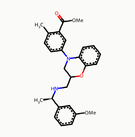 COC(=O)c1cc(N2CC(CN[C@H](C)c3cccc(OC)c3)Oc3ccccc32)ccc1C